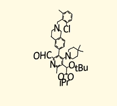 Cc1cccc(Cl)c1CN1CCc2cc(-c3c(C=O)nc(C)c(C(OC(C)(C)C)C(=O)OC(C)C)c3N3CCC(C)(C)CC3)ccc2C1